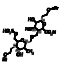 CCCOCC[C@@H]1OC(C(=O)O)[C@@H](COC[C@H]2OC(COS(=O)(=O)O)[C@@H](CCOCC)[C@@H](O)C2C)[C@@H](O)C1O